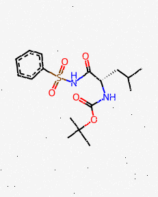 CC(C)C[C@H](NC(=O)OC(C)(C)C)C(=O)NS(=O)(=O)c1ccccc1